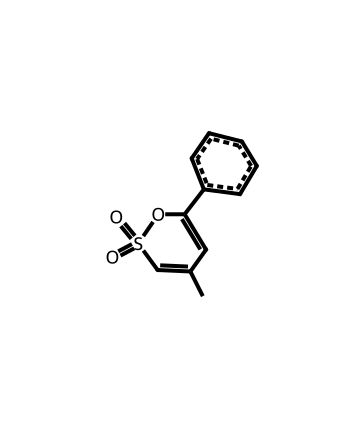 CC1=CS(=O)(=O)OC(c2ccccc2)=C1